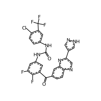 O=C(Nc1cc(F)c(F)c(C(=O)c2ccc3ncc(-c4cn[nH]c4)nc3c2)c1)Nc1ccc(Cl)c(C(F)(F)F)c1